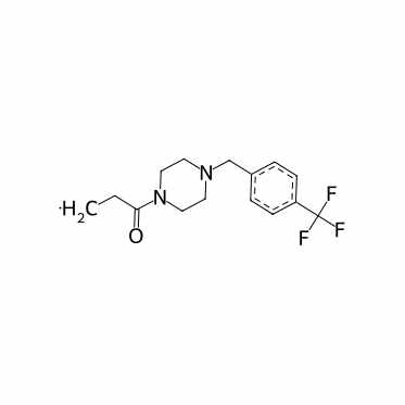 [CH2]CC(=O)N1CCN(Cc2ccc(C(F)(F)F)cc2)CC1